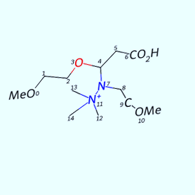 COCCOC(CC(=O)O)N(CCOC)[N+](C)(C)C